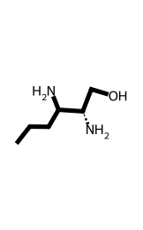 CCCC(N)[C@@H](N)CO